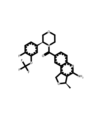 C[C@H]1OCc2c1c(N)nc1ccc(C(=O)N3CCOC[C@@H]3c3ccc(F)c(OC(F)(F)F)c3)cc21